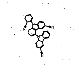 N#CC1=CC2c3ccccc3N(C3=CCCc4c3c3cc(C#N)ccc3n4C3=CC=CCC3C#N)C2C=C1